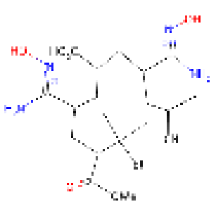 CCC(C)(C)C(CC(CC(CC(CC(C)C#N)/C(N)=N/O)C(=O)O)/C(N)=N/O)C(=O)OC